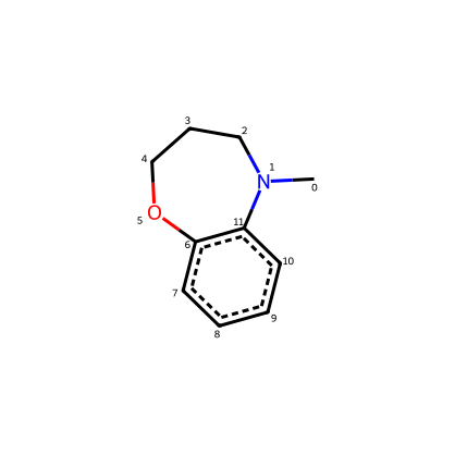 CN1CCCOc2ccccc21